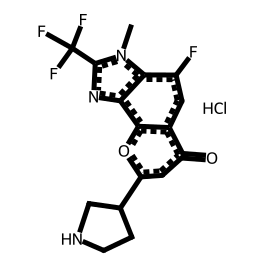 Cl.Cn1c(C(F)(F)F)nc2c3oc(C4CCNC4)cc(=O)c3cc(F)c21